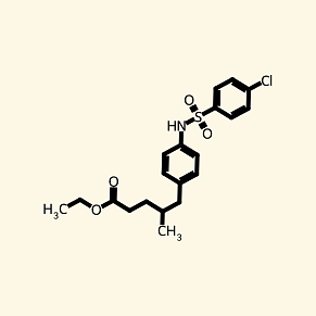 CCOC(=O)CCC(C)Cc1ccc(NS(=O)(=O)c2ccc(Cl)cc2)cc1